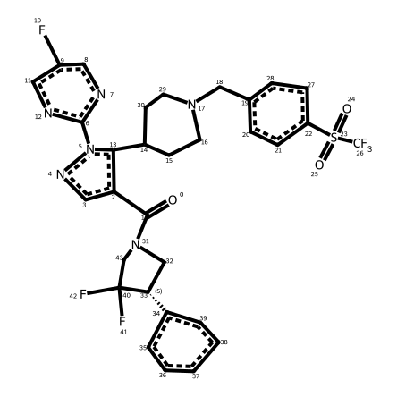 O=C(c1cnn(-c2ncc(F)cn2)c1C1CCN(Cc2ccc(S(=O)(=O)C(F)(F)F)cc2)CC1)N1C[C@H](c2ccccc2)C(F)(F)C1